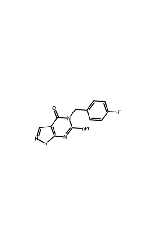 CCCc1nc2sncc2c(=O)n1Cc1ccc(F)cc1